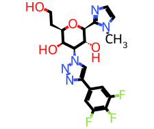 Cn1ccnc1[C@@H]1O[C@H](CCO)[C@H](O)[C@H](n2cc(-c3cc(F)c(F)c(F)c3)nn2)[C@H]1O